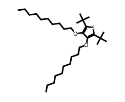 CCCCCCCCCCOc1c(C(C)(C)C)sc(C(C)(C)C)c1OCCCCCCCCCC